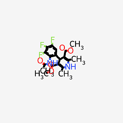 COC(=O)C1=C(C)NC(C)=C(C(=O)OC)C1c1cc(F)c(F)c(F)c1NC(C)=O